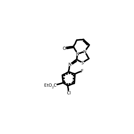 CCOC(=O)c1cc(N=C2SCN3C=CCC(=O)N23)c(F)cc1Cl